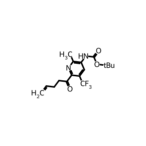 C=CCCC(=O)c1nc(C)c(NC(=O)OC(C)(C)C)cc1C(F)(F)F